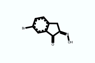 O=C1C(=NO)Cc2ccc(Br)cc21